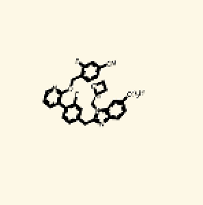 N#Cc1ccc(COc2ncccc2-c2ccc(Cc3nc4ccc(C(=O)O)cc4n3C[C@@H]3CCO3)cc2F)c(F)c1